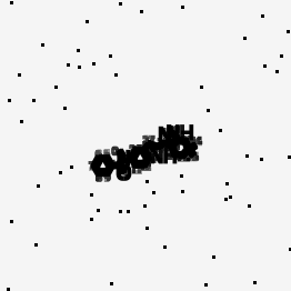 CN(C(=O)c1ccccc1)c1ccc2[nH]c(-c3n[nH]c4c3CCC(C)(C)C4)cc2c1